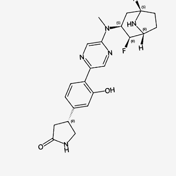 CN(c1cnc(-c2ccc([C@@H]3CNC(=O)C3)cc2O)cn1)[C@H]1C[C@@H]2CC[C@@H](N2)[C@H]1F